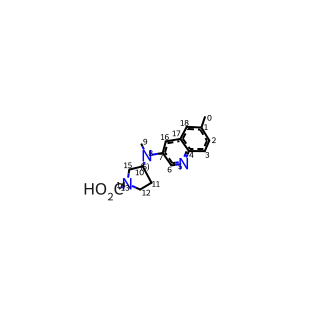 Cc1ccc2ncc(N(C)[C@H]3CCN(C(=O)O)C3)cc2c1